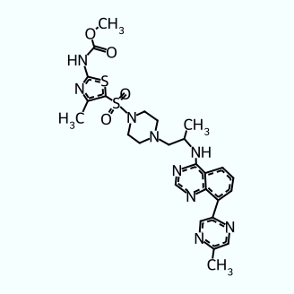 COC(=O)Nc1nc(C)c(S(=O)(=O)N2CCN(CC(C)Nc3ncnc4c(-c5cnc(C)cn5)cccc34)CC2)s1